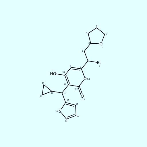 CCC(CC1CCCO1)c1cc(O)c(C(c2cccs2)C2CC2)c(=O)o1